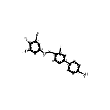 Fc1cc(-c2ccc(S)cc2)ccc1COc1cc(F)c(F)c(F)c1